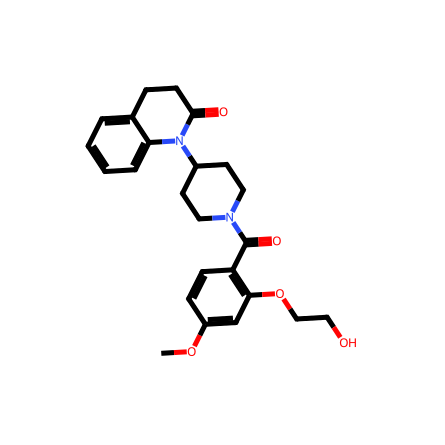 COc1ccc(C(=O)N2CCC(N3C(=O)CCc4ccccc43)CC2)c(OCCO)c1